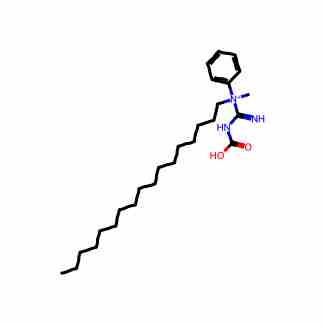 CCCCCCCCCCCCCCCCC[N+](C)(C(=N)NC(=O)O)c1ccccc1